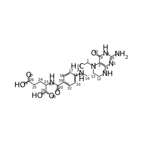 CCN1c2c(nc(N)[nH]c2=O)NC[C@@H]1CNc1ccc(C(=O)NC(CCC(=O)O)C(=O)O)cc1